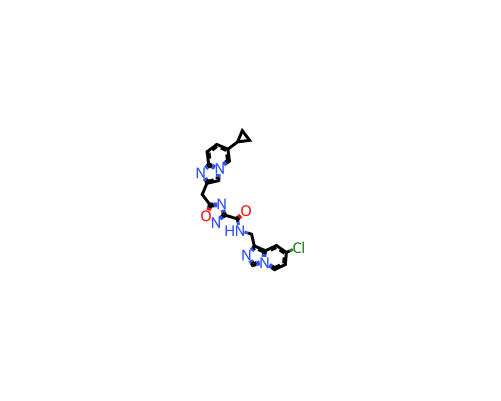 O=C(NCc1ncn2ccc(Cl)cc12)c1noc(Cc2cn3cc(C4CC4)ccc3n2)n1